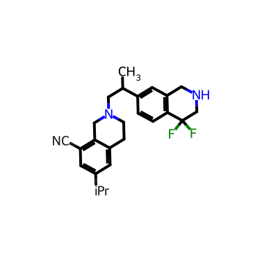 CC(C)c1cc(C#N)c2c(c1)CCN(CC(C)c1ccc3c(c1)CNCC3(F)F)C2